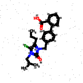 CCCc1c(F)n(CC(C)C)c(=O)n1Cc1ccc(-c2ccccc2C(=O)O)cc1